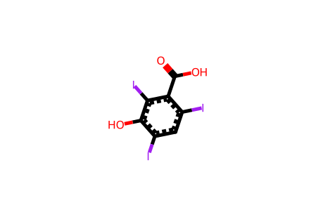 O=C(O)c1c(I)cc(I)c(O)c1I